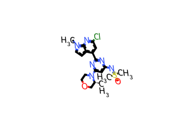 C[C@@H]1COCCN1c1cc(N=S(C)(C)=O)nc(-c2cc(Cl)nc3c2ccn3C)n1